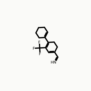 N=CC1=CC(C(F)(F)F)=C(C2=CCCCC2)CC1